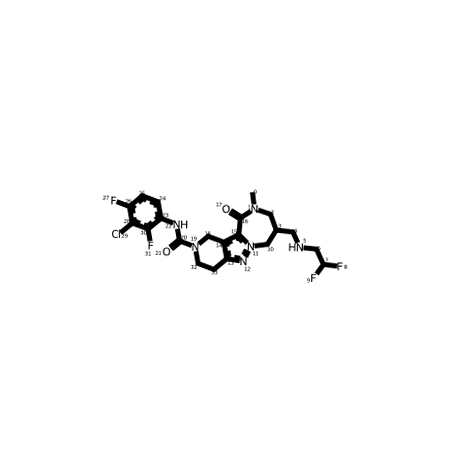 CN1CC(CNCC(F)F)Cn2nc3c(c2C1=O)CN(C(=O)Nc1ccc(F)c(Cl)c1F)CC3